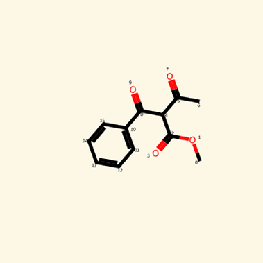 COC(=O)C(C(C)=O)C(=O)c1ccccc1